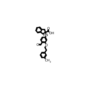 Cc1cccc(CCOc2cc(NC3(C(=O)O)Cc4ccccc4C3)ccc2C=O)c1